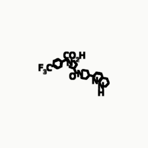 O=C(O)C(c1ccc(C(F)(F)F)cc1)N1CCC(C(=O)N2CCC(c3ccc4c(n3)NCCC4)CC2)C1